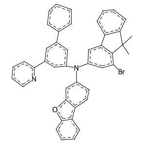 CC1(C)c2ccccc2-c2cc(N(c3cc(-c4ccccc4)cc(-c4ccccn4)c3)c3ccc4c(c3)oc3ccccc34)cc(Br)c21